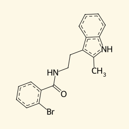 Cc1[nH]c2ccccc2c1CCNC(=O)c1ccccc1Br